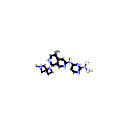 CCCCN(CC)c1nccc(Nc2cc3c(C(C)C)cnc(N4CCC45CN(C)C5)c3cn2)n1